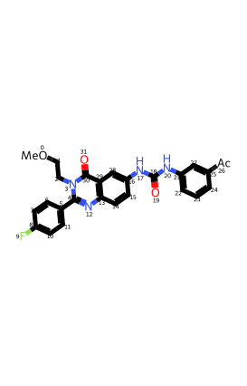 COCCn1c(-c2ccc(F)cc2)nc2ccc(NC(=O)Nc3cccc(C(C)=O)c3)cc2c1=O